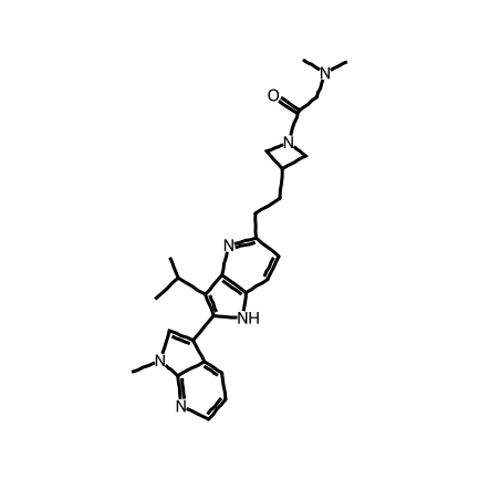 CC(C)c1c(-c2cn(C)c3ncccc23)[nH]c2ccc(CCC3CN(C(=O)CN(C)C)C3)nc12